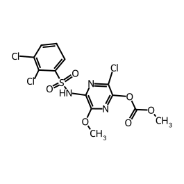 COC(=O)Oc1nc(OC)c(NS(=O)(=O)c2cccc(Cl)c2Cl)nc1Cl